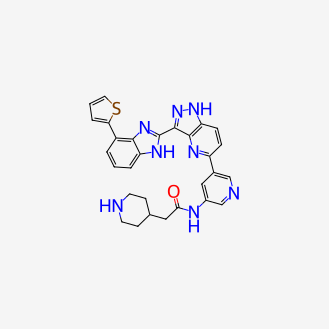 O=C(CC1CCNCC1)Nc1cncc(-c2ccc3[nH]nc(-c4nc5c(-c6cccs6)cccc5[nH]4)c3n2)c1